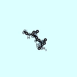 Cc1ccccc1NC(=O)c1cc2ccc3c4ccccc4[nH]c3c2c(N=Nc2ccc3c(c2)C(=O)c2cc(N=Nc4c(O)c(CONc5ccc([N+](=O)[O-])cc5)cc5ccc6c7ccccc7[nH]c6c45)ccc2-3)c1O